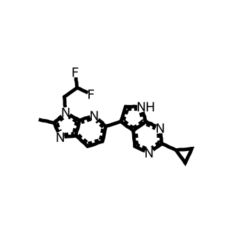 Cc1nc2ccc(-c3c[nH]c4nc(C5CC5)ncc34)nc2n1CC(F)F